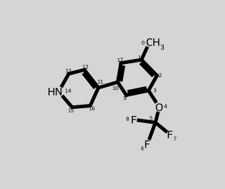 Cc1cc(OC(F)(F)F)cc(C2=CCNCC2)c1